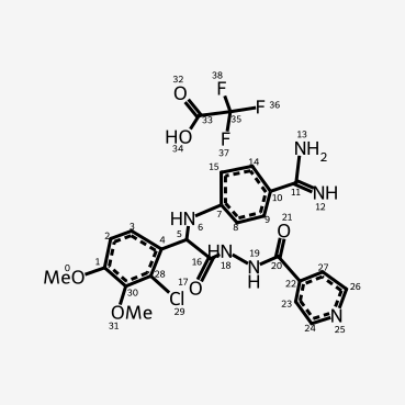 COc1ccc(C(Nc2ccc(C(=N)N)cc2)C(=O)NNC(=O)c2ccncc2)c(Cl)c1OC.O=C(O)C(F)(F)F